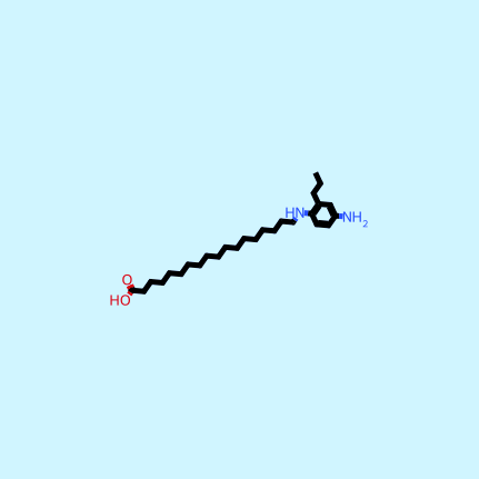 CCCc1cc(N)ccc1NCCCCCCCCCCCCCCCCCC(=O)O